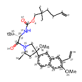 C=CCCC(C)(C)COC(=O)N[C@H](C(=O)N1C[C@](OC)(c2ccc3cc(OC)c(C=C)cc3c2)C[C@H]1C)C(C)(C)C